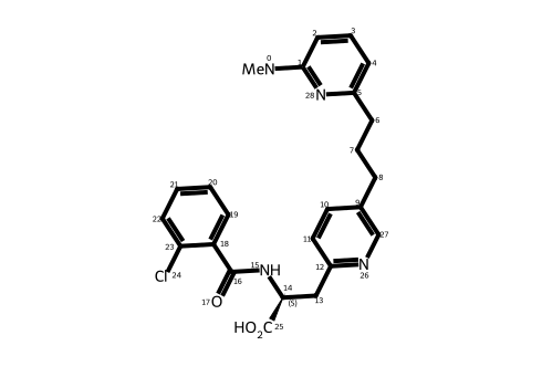 CNc1cccc(CCCc2ccc(C[C@H](NC(=O)c3ccccc3Cl)C(=O)O)nc2)n1